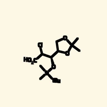 CC1(C)OCC([C@@H](O[Si](C)(C)C(C)(C)C)C(Cl)C(=O)O)O1